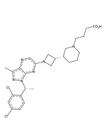 Cc1nn([C@H](C)c2ccc(Cl)cc2Cl)c2nc(N3CC([C@H]4CCCN(CCCC(=O)O)C4)C3)cnc12